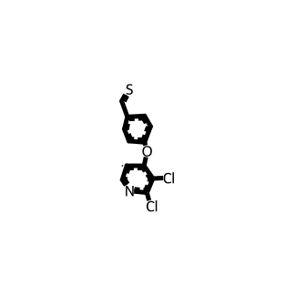 S=Cc1ccc(Oc2[c]cnc(Cl)c2Cl)cc1